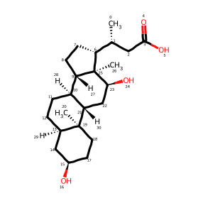 C[C@H](CC(=O)O)[C@H]1CC[C@H]2[C@@H]3CC[C@@H]4C[C@H](O)CC[C@]4(C)[C@H]3C[C@H](O)[C@]12C